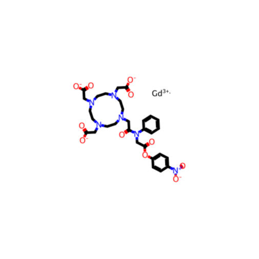 O=C([O-])CN1CCN(CC(=O)[O-])CCN(CC(=O)N(CC(=O)Oc2ccc([N+](=O)[O-])cc2)c2ccccc2)CCN(CC(=O)[O-])CC1.[Gd+3]